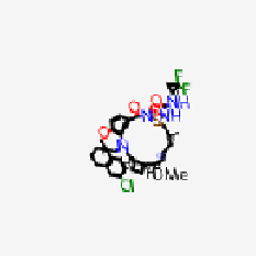 CO[C@H]1/C=C/C[C@H](C)CS(=O)(NC(=O)N[C@@H]2CC2(F)F)=NC(=O)c2ccc3c(c2)N(C[C@@H]2CC[C@H]21)C[C@@]1(CCCc2cc(Cl)ccc21)CO3